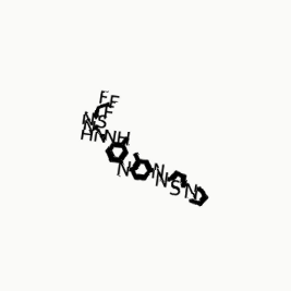 Cc1cc(N(C)c2ccc(/N=N/c3ccc(N4CCCC4)s3)cc2C)ccc1NNc1nnc(CC(F)(F)F)s1